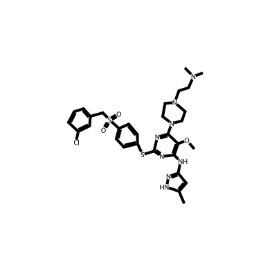 COc1c(Nc2cc(C)[nH]n2)nc(Sc2ccc(S(=O)(=O)Cc3cccc(Cl)c3)cc2)nc1N1CCN(CCN(C)C)CC1